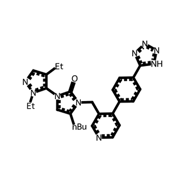 CCCCc1cn(-c2c(CC)cnn2CC)c(=O)n1Cc1cnccc1-c1ccc(-c2nnn[nH]2)cc1